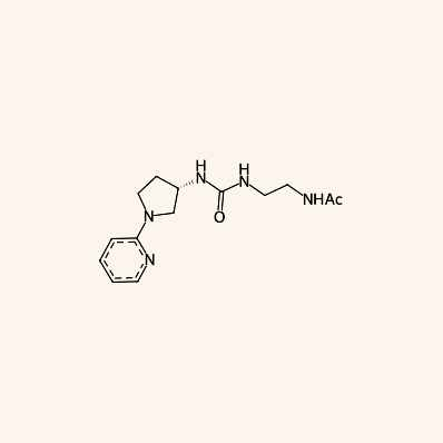 CC(=O)NCCNC(=O)N[C@H]1CCN(c2ccccn2)C1